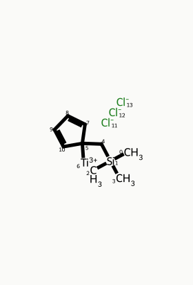 C[Si](C)(C)C[C]1([Ti+3])C=CC=C1.[Cl-].[Cl-].[Cl-]